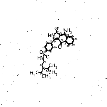 CC(C)N(CCNS(=O)(=O)c1ccc(C2=C3C(=O)c4ccccc4C(N)=C3C(=O)N2)cc1)C(C)C